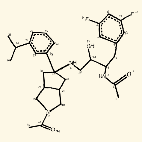 CC(=O)NC(Cc1cc(F)cc(F)c1)C(O)CNC1(c2cccc(C(C)C)c2)CC2CN(C(C)=O)CC2C1